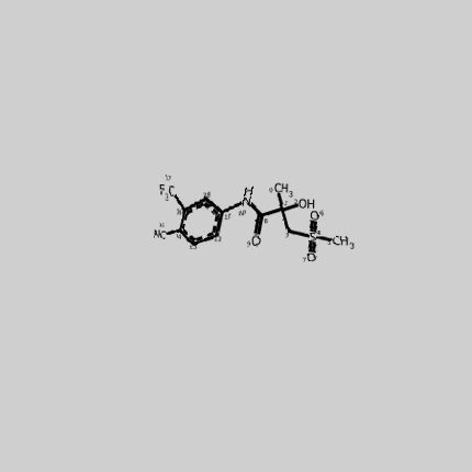 CC(O)(CS(C)(=O)=O)C(=O)Nc1ccc(C#N)c(C(F)(F)F)c1